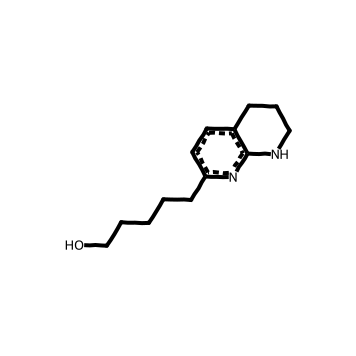 OCCCCCc1ccc2c(n1)NCCC2